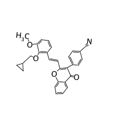 COc1cccc(C=Cc2oc3ccccc3c(=O)c2-c2ccc(C#N)cc2)c1OCC1CC1